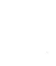 CO[PH](=O)CCCc1ccccc1